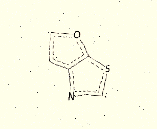 [c]1cc2n[c]sc2o1